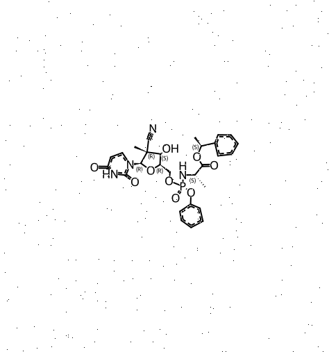 C[C@H](NP(=O)(OC[C@H]1O[C@@H](n2ccc(=O)[nH]c2=O)[C@](C)(C#N)[C@@H]1O)Oc1ccccc1)C(=O)O[C@@H](C)c1ccccc1